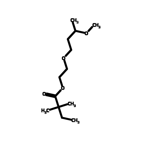 CCC(C)(C)C(=O)OCCOCCC(C)OC